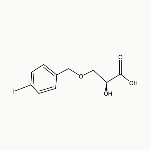 O=C(O)[C@@H](O)COCc1ccc(I)cc1